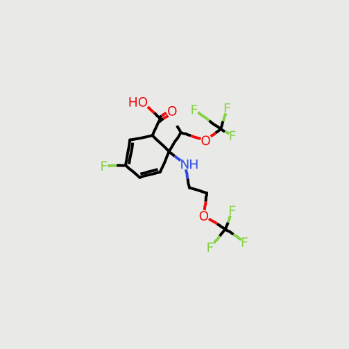 CC(OC(F)(F)F)C1(NCCOC(F)(F)F)C=CC(F)=CC1C(=O)O